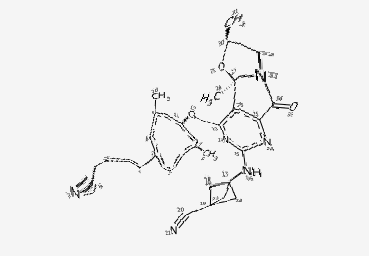 Cc1cc(/C=C/C#N)cc(C)c1Oc1nc(NC23CC(C#N)(C2)C3)nc2c1[C@@]1(C)O[C@@H](C)CN1C2=O